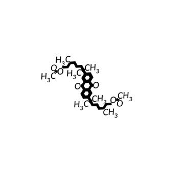 CC(=O)OCCC(C)CCCC(C)(C)c1ccc2c(c1)C(=O)c1ccc(C(C)(C)CCCC(C)CCOC(C)=O)cc1C2=O